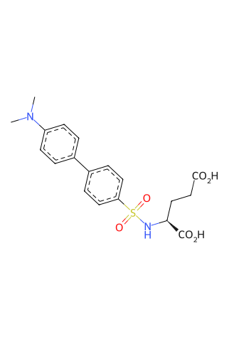 CN(C)c1ccc(-c2ccc(S(=O)(=O)N[C@@H](CCC(=O)O)C(=O)O)cc2)cc1